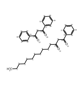 CCCCCCCCCCCC(=O)CC(=O)c1ccccc1.O=C(CC(=O)c1ccccc1)c1ccccc1